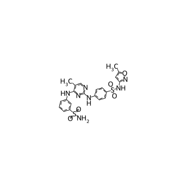 Cc1cc(NS(=O)(=O)c2ccc(Nc3ncc(C)c(Nc4cccc(S(N)(=O)=O)c4)n3)cc2)no1